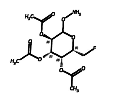 CC(=O)O[C@@H]1[C@H](OC(C)=O)[C@@H](OC(C)=O)C(ON)O[C@@H]1CF